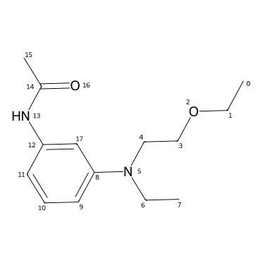 CCOCCN(CC)c1cccc(NC(C)=O)c1